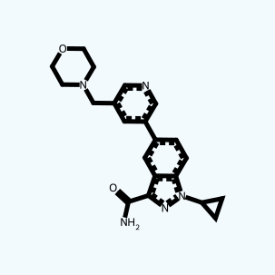 NC(=O)c1nn(C2CC2)c2ccc(-c3cncc(CN4CCOCC4)c3)cc12